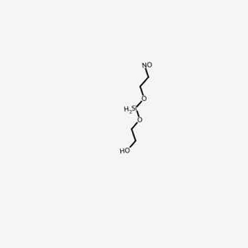 O=NCCO[SiH2]OCCO